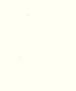 COc1ccc2c(C(=O)Cl)c(C)oc2c1